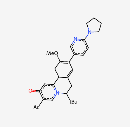 COC1=C(c2ccc(N3CCCC3)nc2)C=C2CC(C(C)(C)C)n3cc(C(C)=O)c(=O)cc3C2C1